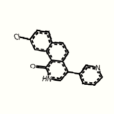 O=c1[nH]cc(-c2cccnc2)c2ccc3ccc(Cl)cc3c12